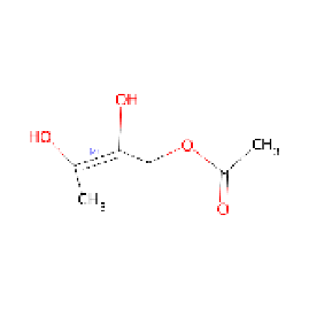 CC(=O)OC/C(O)=C(\C)O